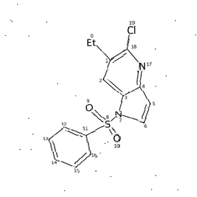 CCc1cc2c(ccn2S(=O)(=O)c2ccccc2)nc1Cl